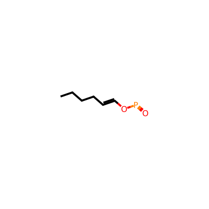 CCCCC=COP=O